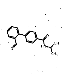 [CH2]C(O)NC(=O)c1ccc(-c2ccccc2C=O)cc1